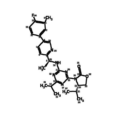 Cc1cc(-c2ccc([C@H](C)Nc3nc(C(C)C)nc(N4C(=O)OC[C@@H]4C(C)C)n3)nc2)ccc1F